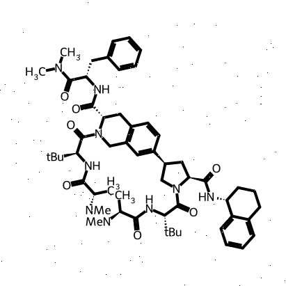 CN[C@@H](C)C(=O)N[C@H](C(=O)N1Cc2cc([C@H]3C[C@@H](C(=O)N[C@@H]4CCCc5ccccc54)N(C(=O)[C@@H](NC(=O)[C@H](C)NC)C(C)(C)C)C3)ccc2C[C@H]1C(=O)N[C@@H](Cc1ccccc1)C(=O)N(C)C)C(C)(C)C